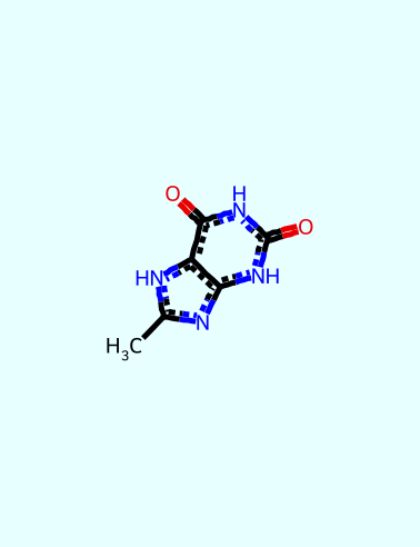 Cc1nc2[nH]c(=O)[nH]c(=O)c2[nH]1